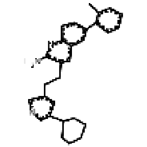 Cc1ccccc1-c1ccc2nc(N)c(CCc3cncc(C4CCCCC4)c3)cc2c1